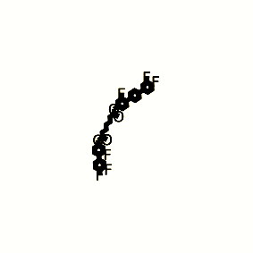 O=C(CCCCCC(=O)Oc1ccc(-c2ccc(F)c(F)c2)c(F)c1)Oc1ccc(-c2ccc(-c3ccc(F)c(F)c3)cc2)c(F)c1